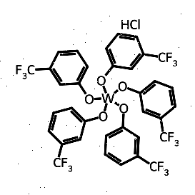 Cl.FC(F)(F)c1cccc([O][W]([O]c2cccc(C(F)(F)F)c2)([O]c2cccc(C(F)(F)F)c2)([O]c2cccc(C(F)(F)F)c2)[O]c2cccc(C(F)(F)F)c2)c1